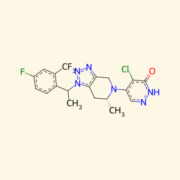 CC(c1ccc(F)cc1C(F)(F)F)n1nnc2c1C[C@@H](C)N(c1cn[nH]c(=O)c1Cl)C2